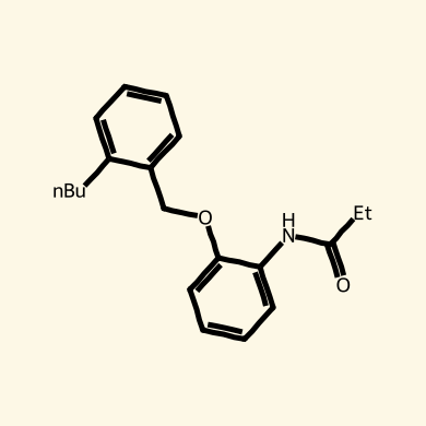 CCCCc1ccccc1COc1ccccc1NC(=O)CC